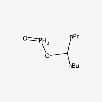 CCCCC(CCC)O[PH2]=O